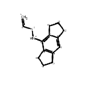 C=CSNc1c2c(cc3c1CCC3)CCC2